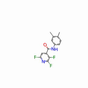 Cc1ccc(NC(=O)c2cc(F)nc(F)c2F)cc1C